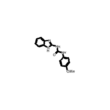 COc1ccc(NC(=O)Nc2nc3ccccc3[nH]2)cc1